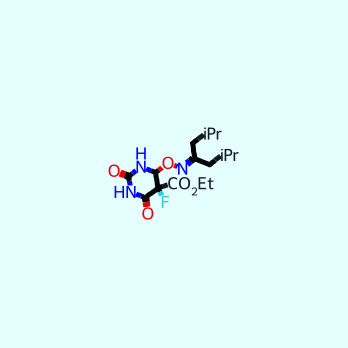 CCOC(=O)C1(F)C(=O)NC(=O)NC1ON=C(CC(C)C)CC(C)C